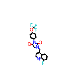 O=C1CN(Cc2ccnc3c(F)cccc23)C(=O)N1c1ccc(OC(F)(F)F)cc1